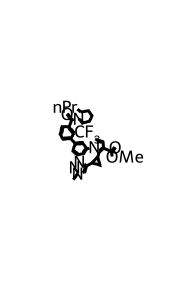 CCCC1CCCCN1C(=O)c1cccc(-c2cccc(-n3ccc(C(=O)OC)c3C3CC3c3cn(C)nn3)c2)c1C(F)(F)F